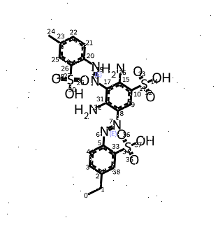 CCc1ccc(/N=N/c2cc(S(=O)(=O)O)c(N)c(/N=N/c3ccc(C)cc3S(=O)(=O)O)c2N)c(S(=O)(=O)O)c1